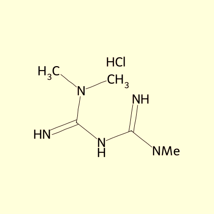 CNC(=N)NC(=N)N(C)C.Cl